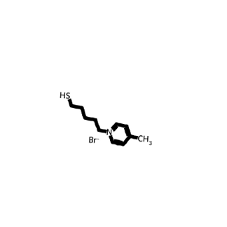 Cc1cc[n+](CCCCCS)cc1.[Br-]